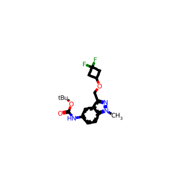 Cn1nc(COC2CC(F)(F)C2)c2cc(NC(=O)OC(C)(C)C)ccc21